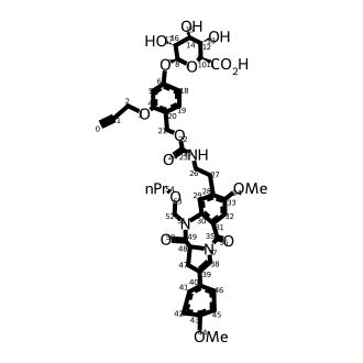 C#CCOc1cc(O[C@@H]2O[C@H](C(=O)O)[C@@H](O)[C@H](O)[C@H]2O)ccc1COC(=O)NCCc1cc2c(cc1OC)C(=O)N1C=C(c3ccc(OC)cc3)CC1C(=O)N2COCCC